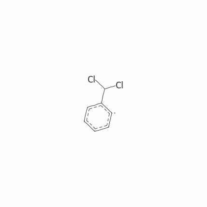 ClC(Cl)c1[c]cccc1